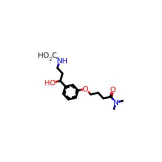 CN(C)C(=O)CCCOc1cccc(C(O)CCNC(=O)O)c1